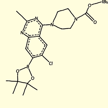 Cc1nc(N2CCN(C(=O)OC(C)(C)C)CC2)c2cc(Cl)c(B3OC(C)(C)C(C)(C)O3)cc2n1